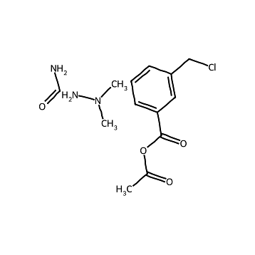 CC(=O)OC(=O)c1cccc(CCl)c1.CN(C)N.NC=O